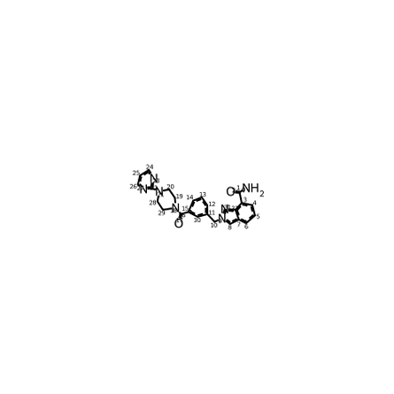 NC(=O)c1cccc2cn(Cc3cccc(C(=O)N4CCN(c5ncccn5)CC4)c3)nc12